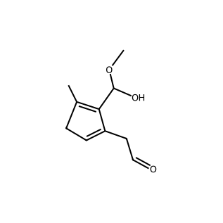 COC(O)C1=C(C)CC=C1CC=O